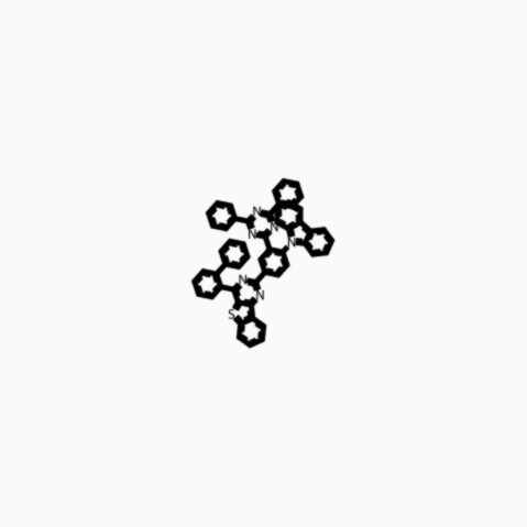 c1ccc(-c2nc(-c3ccccc3)nc(-c3cc(-c4nc(-c5ccccc5-c5ccccc5)c5sc6ccccc6c5n4)ccc3-n3c4ccccc4c4ccccc43)n2)cc1